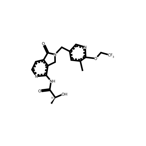 Cc1cc(CN2Cc3c(ccnc3NC(=O)[C@H](C)O)C2=O)cnc1OCC(F)(F)F